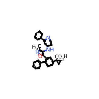 Cc1noc(-c2cc(C3(C(=O)O)CC3)ccc2-c2ccccc2)c1Nc1ccnc(-c2ccccc2)c1